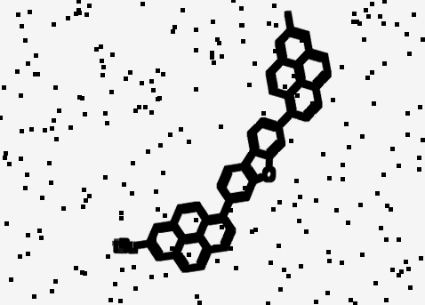 Cc1cc2ccc3ccc(-c4ccc5c(c4)oc4cc(-c6ccc7ccc8cc(C(C)(C)C)cc9ccc6c7c89)ccc45)c4ccc(c1)c2c34